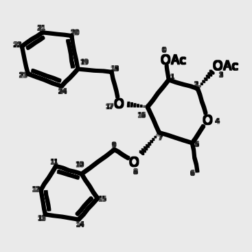 CC(=O)OC1[C@H](OC(C)=O)OC(C)[C@H](OCc2ccccc2)[C@@H]1OCc1ccccc1